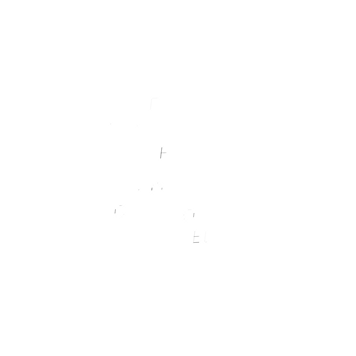 CCOCOC(=O)c1cccc(F)c1F